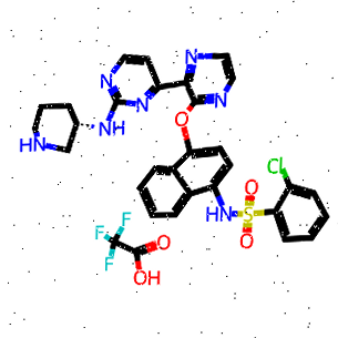 O=C(O)C(F)(F)F.O=S(=O)(Nc1ccc(Oc2nccnc2-c2ccnc(N[C@H]3CCCNC3)n2)c2ccccc12)c1ccccc1Cl